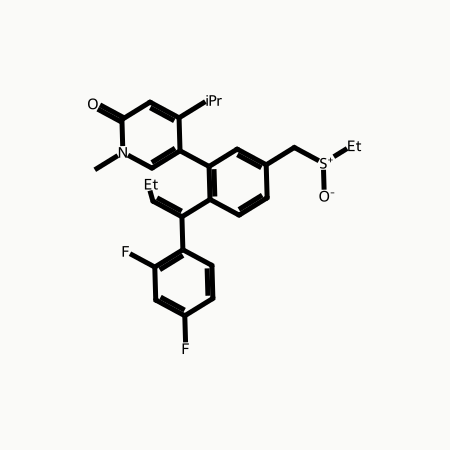 CC/C=C(/c1ccc(F)cc1F)c1ccc(C[S+]([O-])CC)cc1-c1cn(C)c(=O)cc1C(C)C